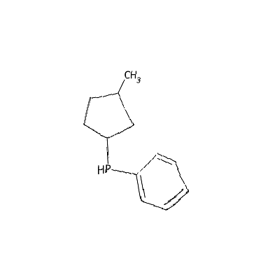 CC1CCC(Pc2ccccc2)C1